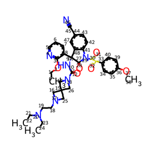 CCOc1ncccc1[C@]1(NC(=O)N2CC3(CN(CCN(CC)CC)C3)C2)C(=O)N(S(=O)(=O)c2ccc(OC)cc2)c2ccc(C#N)cc21